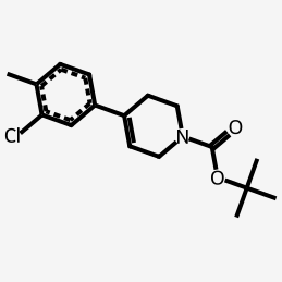 Cc1ccc(C2=CCN(C(=O)OC(C)(C)C)CC2)cc1Cl